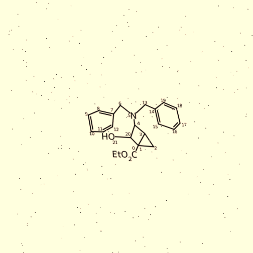 CCOC(=O)C12CC1C(N(Cc1ccccc1)Cc1ccccc1)C2O